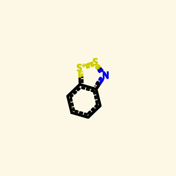 c1ccc2[s+]snc2c1